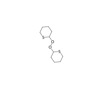 C1CCC(OOC2CCCCS2)SC1